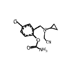 N#CCN(Cc1cc(Cl)ccc1OC(N)=O)C1CC1